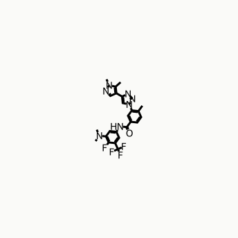 Cc1ccc(C(=O)Nc2cc(N(C)C)c(F)c(C(F)(F)F)c2)cc1-n1cc(-c2cnn(C)c2C)nn1